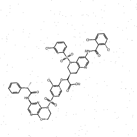 C[C@H](C(=O)Nc1cnc2c(n1)N(S(=O)(=O)c1ccc(OC(C(=O)O)[C@@H]3Cc4ncc(NC(=O)c5c(Cl)cccc5Cl)cc4N(S(=O)(=O)c4cccc(Cl)c4)C3)c(Cl)c1)CCO2)c1ccccc1